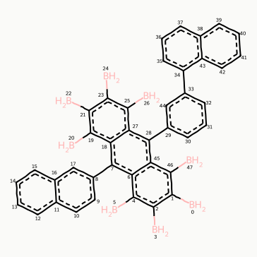 Bc1c(B)c(B)c2c(-c3ccc4ccccc4c3)c3c(B)c(B)c(B)c(B)c3c(-c3cccc(-c4cccc5ccccc45)c3)c2c1B